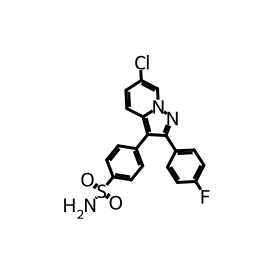 NS(=O)(=O)c1ccc(-c2c(-c3ccc(F)cc3)nn3cc(Cl)ccc23)cc1